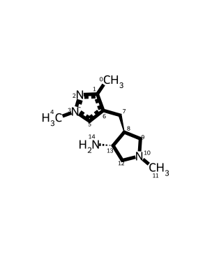 Cc1nn(C)cc1C[C@H]1CN(C)C[C@@H]1N